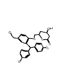 O=C1CC(O)CC(COc2ccc(CCl)cc2C(c2ccc(Cl)cc2)c2ccc(Cl)cc2)O1